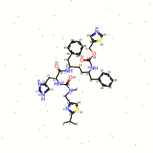 CC(C)c1nc(CN(C)C(=O)N[C@@H](Cc2c[nH]cn2)C(=O)NC(CCC(Cc2ccccc2)NC(=O)OCc2cncs2)Cc2ccccc2)cs1